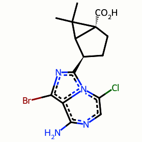 CC1(C)C2[C@H](c3nc(Br)c4c(N)ncc(Cl)n34)CC[C@@]21C(=O)O